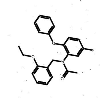 CCOc1ccccc1CN(C(C)=O)c1cc(F)ccc1Oc1ccccc1